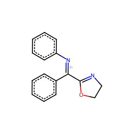 c1ccc(/N=C(/C2=NCCO2)c2ccccc2)cc1